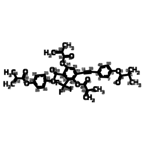 C=C(C)C(=O)Oc1ccc(C#Cc2cc(OC(=O)C(=C)C)c(C(=O)Oc3ccc(OC(=O)C(=C)C)cc3)c(C(F)(F)F)c2OC(=O)C(=C)C)cc1